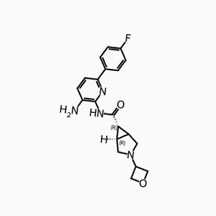 Nc1ccc(-c2ccc(F)cc2)nc1NC(=O)[C@@H]1C2CN(C3COC3)C[C@H]21